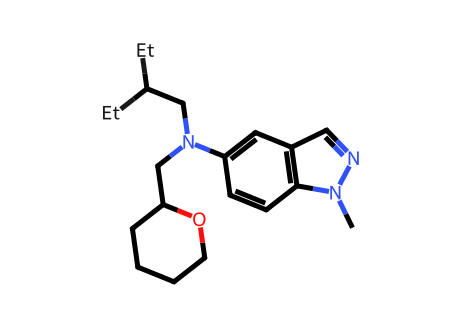 CCC(CC)CN(CC1CCCCO1)c1ccc2c(cnn2C)c1